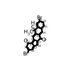 CC1(C)C2=CC3=C4C(=O)C=C(Br)C=C4C=C3C(=O)C2=Cc2ccc(Br)cc21